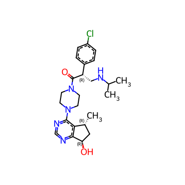 CC(C)NC[C@H](C(=O)N1CCN(c2ncnc3c2[C@H](C)C[C@H]3O)CC1)c1ccc(Cl)cc1